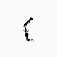 CN(CCOC(=O)NCc1ccc(COc2nccc(N)n2)cc1)c1cc2sc(/C=C(\C#N)c3nc4ccccc4s3)cc2s1